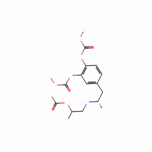 CCCCCOC(=O)Oc1ccc(C[C@H](NCC(C)OC(=O)C(C)CC)C(=O)O)cc1OC(=O)OCCCCC